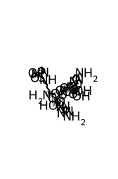 Nc1ccn([C@H]2C[C@H](OP(=O)(O)OC[C@@H]3O[C@@H](n4cnc5c(N)ncnc54)[C@H](O)[C@@H]3OC(=O)[C@H](N)CCCCNSc3ncccc3[N+](=O)[O-])[C@@H](COP(=O)(O)O)O2)c(=O)n1